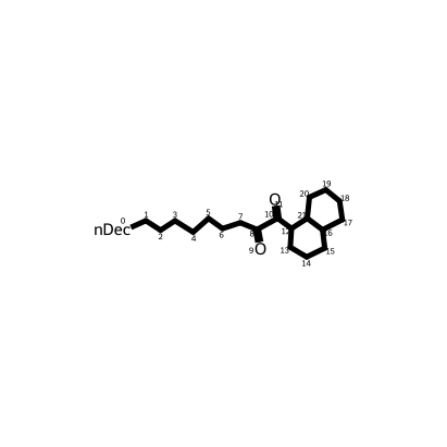 CCCCCCCCCCCCCCCCCC(=O)C(=O)C1CCCC2CCCCC21